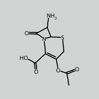 CC(=O)OC1=C(C(=O)O)N2C(=O)C(N)C2SC1